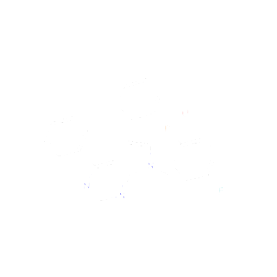 Cn1c(P(=O)(c2ccccc2)c2ccc(F)cc2)cc2c(-c3ccccc3)ncnc21